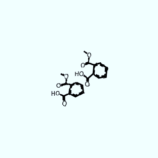 COC(=O)c1ccccc1C(=O)O.COC(=O)c1ccccc1C(=O)O